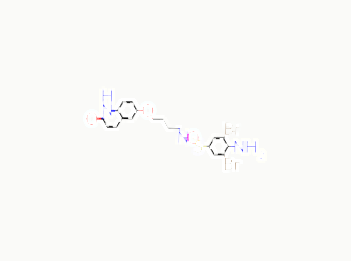 Nc1c(Br)cc(SON=CCCCOc2ccc3[nH]c(=O)ccc3c2)cc1Br